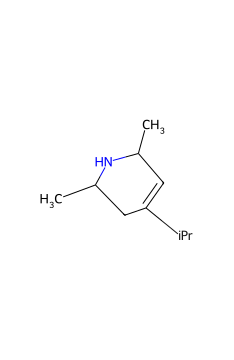 CC1C=C(C(C)C)CC(C)N1